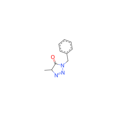 CC1N=NN(Cc2ccccc2)C1=O